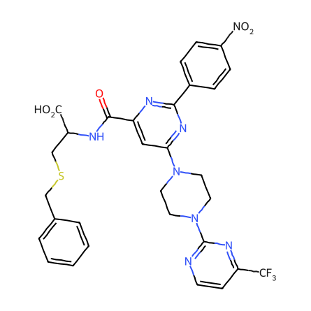 O=C(NC(CSCc1ccccc1)C(=O)O)c1cc(N2CCN(c3nccc(C(F)(F)F)n3)CC2)nc(-c2ccc([N+](=O)[O-])cc2)n1